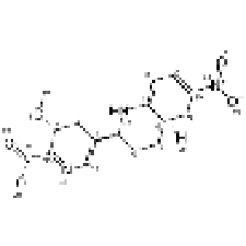 CO[C@@H]1CC([C@@H]2CC[C@@H]3CC([N+](=O)[O-])=CC=C3N2)=CN=C1[N+](=O)[O-]